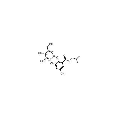 CC(C)COC(=O)c1cc(O)ccc1O[C@@H]1O[C@H](CO)[C@@H](O)[C@H](O)[C@H]1O